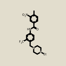 CCN1CCN(Cc2ccc(NC(=O)c3ccc(C)c([N+](=O)[O-])c3)cc2C(F)(F)F)CC1